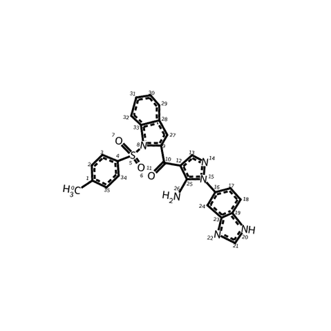 Cc1ccc(S(=O)(=O)n2c(C(=O)c3cnn(-c4ccc5[nH]cnc5c4)c3N)cc3ccccc32)cc1